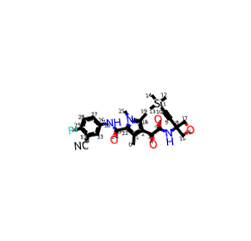 Cc1c(C(=O)C(=O)NC2(C#C[Si](C)(C)C)COC2)c(C)n(C)c1C(=O)Nc1ccc(F)c(C#N)c1